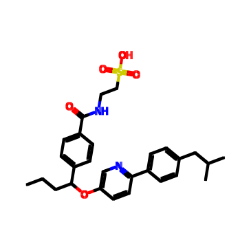 CCCC(Oc1ccc(-c2ccc(CC(C)C)cc2)nc1)c1ccc(C(=O)NCCS(=O)(=O)O)cc1